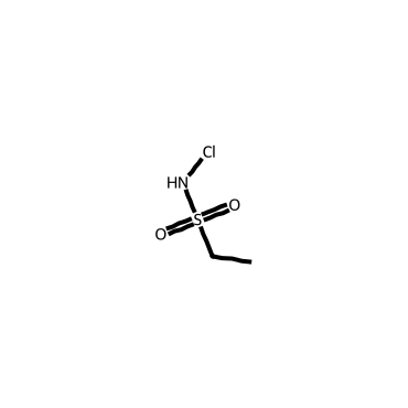 CCS(=O)(=O)NCl